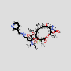 CC[C@H]1OC(=O)[C@@](C)(F)C(=O)[C@H](C)[C@@H](O[C@@H]2OC(CNCc3cccnc3)CC(N(C)C)C2O)[C@](C)(OC)C[C@@H](C)C(=O)[C@H](C)[C@H]2NC(=O)O[C@@]21C